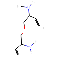 C=CC(COCC(C=C)N(CC)CC)N(CC)CC